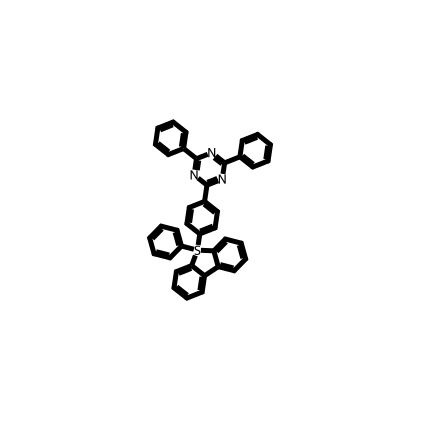 c1ccc(-c2nc(-c3ccccc3)nc(-c3ccc(S4(c5ccccc5)c5ccccc5-c5ccccc54)cc3)n2)cc1